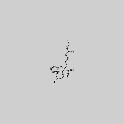 CCOC(=O)SSCC[C@](O)(Cn1cncn1)c1ccc(F)cc1F.Cl